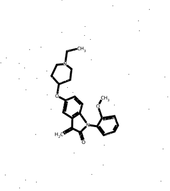 C=C1C(=O)N(c2ccccc2OC)c2ccc(OC3CCN(CC)CC3)cc21